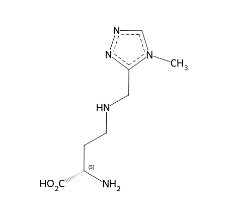 Cn1cnnc1CNCC[C@H](N)C(=O)O